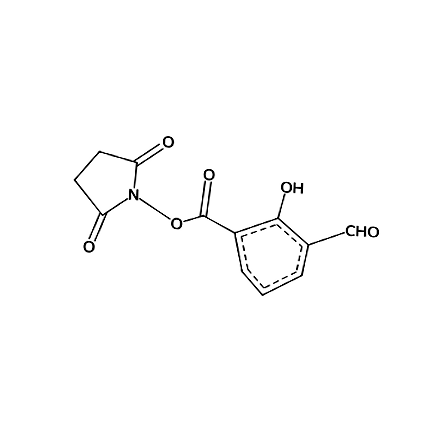 O=Cc1cccc(C(=O)ON2C(=O)CCC2=O)c1O